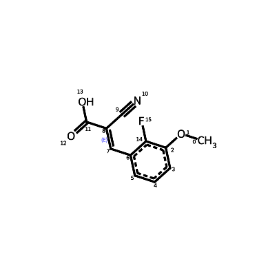 COc1cccc(/C=C(\C#N)C(=O)O)c1F